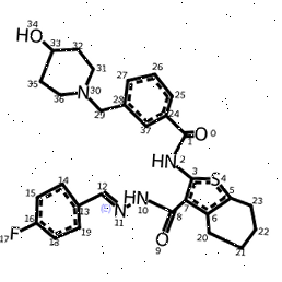 O=C(Nc1sc2c(c1C(=O)N/N=C/c1ccc(F)cc1)CCCC2)c1cccc(CN2CCC(O)CC2)c1